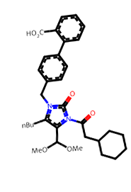 CCCCc1c(C(OC)OC)n(C(=O)CC2CCCCC2)c(=O)n1Cc1ccc(-c2ccccc2C(=O)O)cc1